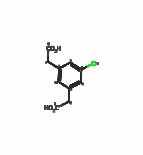 O=C(O)Cc1cc(Cl)cc(CC(=O)O)c1